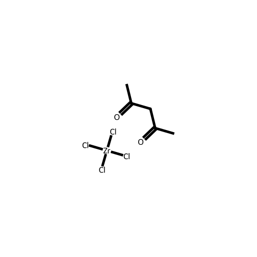 CC(=O)CC(C)=O.[Cl][Zr]([Cl])([Cl])[Cl]